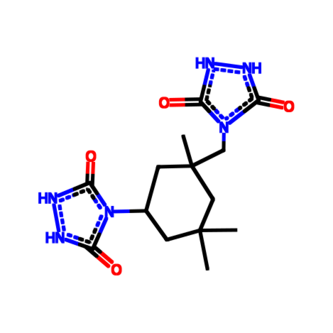 CC1(C)CC(n2c(=O)[nH][nH]c2=O)CC(C)(Cn2c(=O)[nH][nH]c2=O)C1